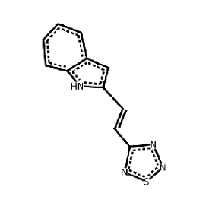 C(=Cc1cc2ccccc2[nH]1)c1nnsn1